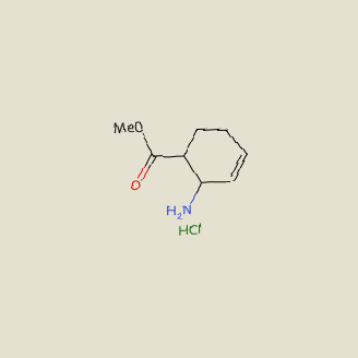 COC(=O)C1CCC=CC1N.Cl